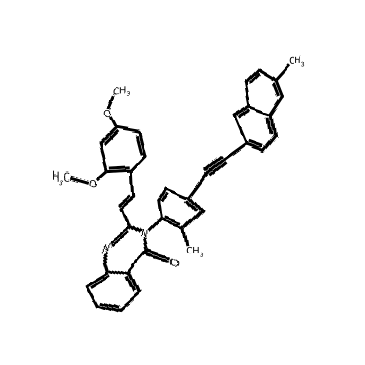 COc1ccc(/C=C/c2nc3ccccc3c(=O)n2-c2ccc(C#Cc3ccc4cc(C)ccc4c3)cc2C)c(OC)c1